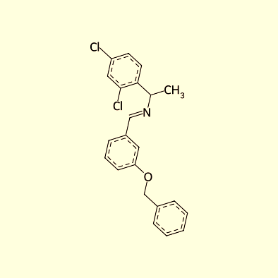 CC(/N=C/c1cccc(OCc2ccccc2)c1)c1ccc(Cl)cc1Cl